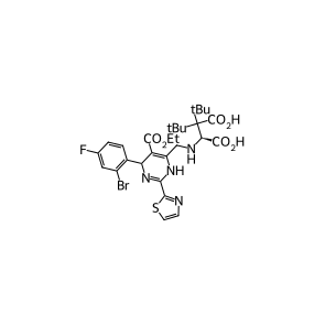 CCOC(=O)C1=C(CN[C@H](C(=O)O)C(C(=O)O)(C(C)(C)C)C(C)(C)C)NC(c2nccs2)=NC1c1ccc(F)cc1Br